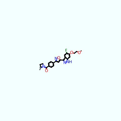 COCCOc1cc2[nH]nc(-c3cc(-c4ccc(C(=O)N5CC[C@@H]5C)cc4)no3)c2cc1F